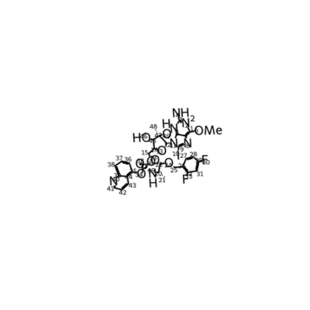 COc1nc(N)nc2c1nc(I)n2[C@@H]1OC(COP(=O)(N[C@@H](C)C(=O)OCc2ccc(F)cc2F)Oc2cccc3ncccc23)C(O)[C@@]1(C)O